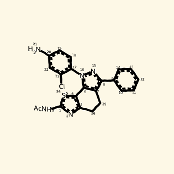 CC(=O)Nc1nc2c(s1)-c1c(c(-c3ccccc3)nn1-c1ccc(N)cc1Cl)CC2